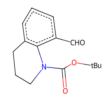 CC(C)(C)OC(=O)N1CCCc2cccc(C=O)c21